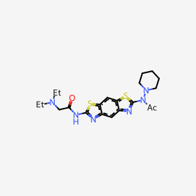 CCN(CC)CC(=O)Nc1nc2cc3nc(N(C(C)=O)N4CCCCC4)sc3cc2s1